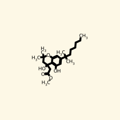 CCCCCCC(C)(C)c1cc(O)c2c(c1)OC(C)(C)CC2(O)CC(=O)OC